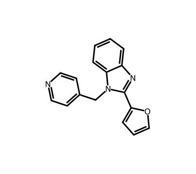 c1coc(-c2nc3ccccc3n2Cc2ccncc2)c1